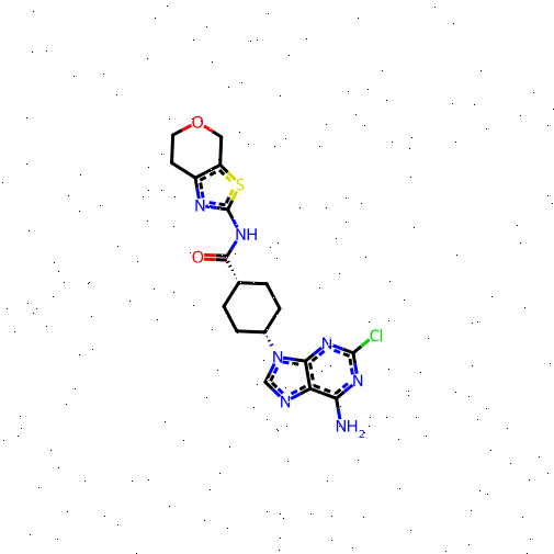 Nc1nc(Cl)nc2c1ncn2[C@H]1CC[C@@H](C(=O)Nc2nc3c(s2)COCC3)CC1